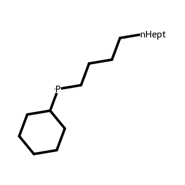 CCCCCCCCCCC[P]C1CCCCC1